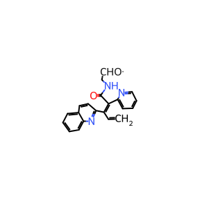 C=C/C(=C(/C(=O)NC[C]=O)c1ccccn1)c1ccc2ccccc2n1